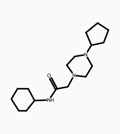 O=C(CN1CCN(C2CCCC2)CC1)NC1CCCCC1